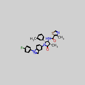 Cc1cccc([C@@H]2[C@@H](NC(=O)c3scnc3C)[C@H](C)C(=O)N2c2ccc3c(cnn3-c3ccc(F)cc3)c2)c1